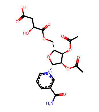 CC(=O)O[C@@H]1[C@H](OC(C)=O)[C@@H](COC(=O)[C@@H](O)CC(=O)O)O[C@H]1[n+]1cccc(C(N)=O)c1